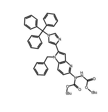 CC(C)(C)OC(=O)NN(C(=O)OC(C)(C)C)c1ccc2c(cc(-c3cn(C(c4ccccc4)(c4ccccc4)c4ccccc4)cn3)n2Cc2ccccc2)n1